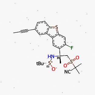 CC#Cc1ccc2sc3cc(F)c([C@](C)(CS(=O)(=O)C(C)(C)C#N)N[S@+]([O-])C(C)(C)C)cc3c2c1